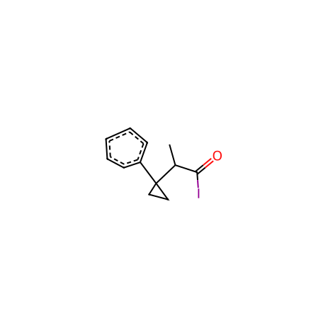 CC(C(=O)I)C1(c2ccccc2)CC1